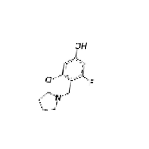 Oc1cc(F)c(CN2CCCC2)c(Cl)c1